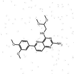 COc1ccc(-c2ccc3nc(N)nc(NCC(OC)OC)c3n2)cc1OC